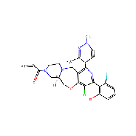 C=CC(=O)N1CCN2Cc3c(C4C#CN(C)N=C4C)nc(-c4c(O)cccc4F)c(Cl)c3OC[C@H]2C1